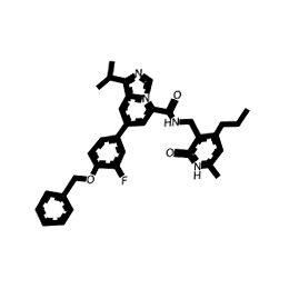 CCCc1cc(C)[nH]c(=O)c1CNC(=O)c1cc(-c2ccc(OCc3ccccc3)c(F)c2)cc2c(C(C)C)ncn12